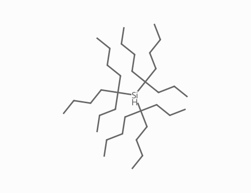 CCCCC(CCC)(CCCC)[SiH](C(CCC)(CCCC)CCCC)C(CCC)(CCCC)CCCC